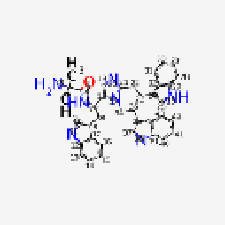 CC(C)(N)C(=O)N[C@H](CC1C=Nc2ccccc21)c1cnc(CCc2c[nH]c3ccccc23)n1CCC1C=Nc2ccccc21